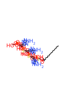 CCCCCCCCCCCCCCCCC(C)(C)C(=O)OCCSP(=O)(O)OC1C(OC)[C@@H](COP(O)(=S)OC2C(O)[C@@H](COP(O)(=S)OC3C(OC)[C@@H](COP(=O)(O)OCCO)O[C@H]3n3cnc4c(N)ncnc43)O[C@H]2n2cnc3c(N)ncnc32)O[C@H]1n1cnc2c(N)ncnc21